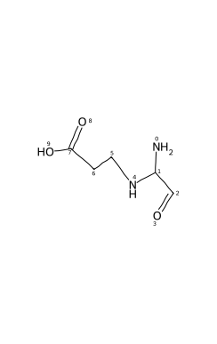 NC(C=O)NCCC(=O)O